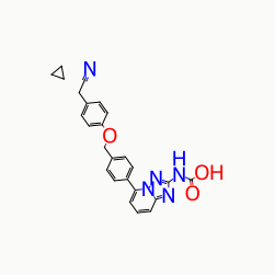 C1CC1.N#CCc1ccc(OCc2ccc(-c3cccc4nc(NC(=O)O)nn34)cc2)cc1